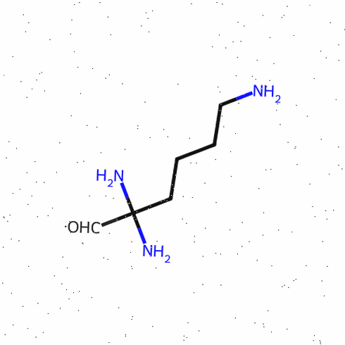 NCCCCC(N)(N)[C]=O